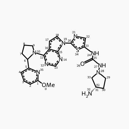 COc1cccc(C2CCCN2c2ncnc3c2ccn3-c2ncc(NC(=O)NN3CC[C@H](N)C3)s2)n1